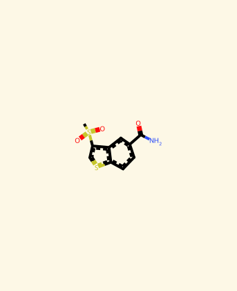 CS(=O)(=O)c1csc2ccc(C(N)=O)cc12